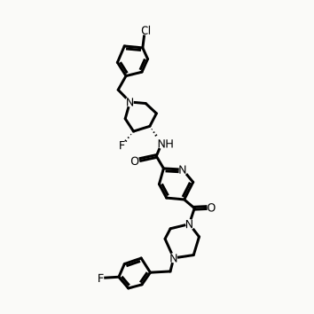 O=C(N[C@H]1CCN(Cc2ccc(Cl)cc2)C[C@H]1F)c1ccc(C(=O)N2CCN(Cc3ccc(F)cc3)CC2)cn1